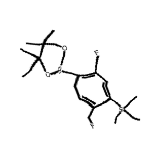 CC1(C)OB(c2cc(F)c([Si](C)(C)C)cc2F)OC1(C)C